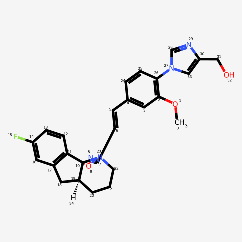 COc1cc(/C=C/C2=NO[C@@]34c5ccc(F)cc5C[C@@H]3CCCN24)ccc1-n1cnc(CO)c1